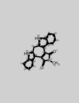 CN1C(=O)C2=C(C1=O)c1c([nH]c3ccccc13)Cc1[nH]c3ccccc3c12